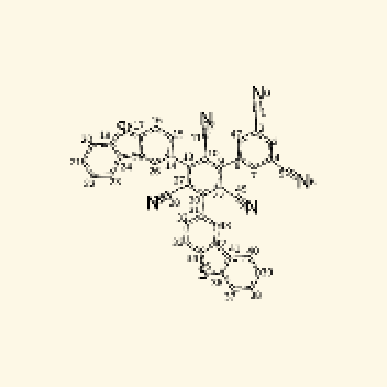 N#Cc1cc(C#N)cc(-c2c(C#N)c(-c3ccc4sc5ccccc5c4c3)c(C#N)c(-c3ccc4sc5ccccc5c4c3)c2C#N)c1